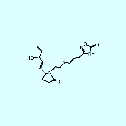 CC[C@H](O)/C=C/[C@H]1CCC(=O)N1CCSCCCc1noc(=O)[nH]1